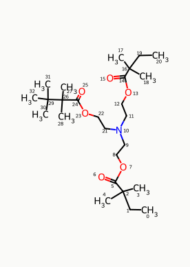 CCC(C)(C)C(=O)OCCN(CCOC(=O)C(C)(C)CC)CCOC(=O)C(C)(C)C(C)(C)C